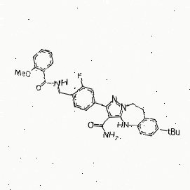 COc1ccccc1C(=O)NCc1ccc(-c2nn3c(c2C(N)=O)Nc2ccc(C(C)(C)C)cc2CC3)cc1F